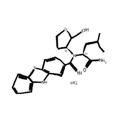 CC(C)C[C@@H](C(N)=O)N(C(=N)c1ccc2c(c1)Nc1ccccc1S2)[C@H]1CCOC1O.Cl